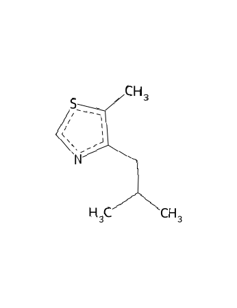 Cc1scnc1CC(C)C